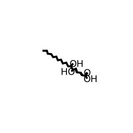 CCCCCCCCCCCC(O)C(O)C=CC=CC(=O)O